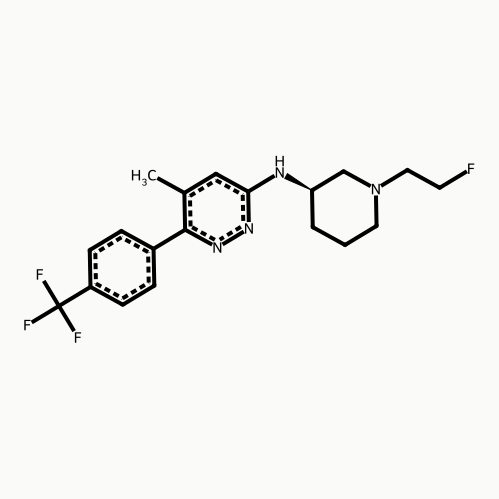 Cc1cc(N[C@@H]2CCCN(CCF)C2)nnc1-c1ccc(C(F)(F)F)cc1